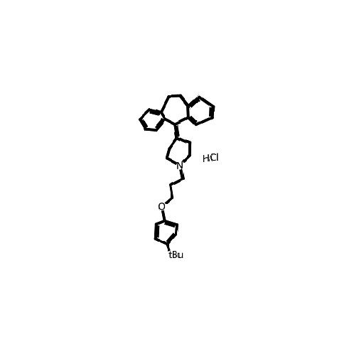 CC(C)(C)c1ccc(OCCCN2CCC(=C3c4ccccc4CCc4ccccc43)CC2)cc1.Cl